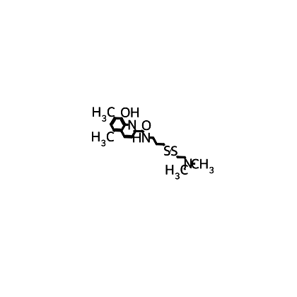 Cc1cc(C)c2ccc(C(=O)NCCCSSCCN(C)C)nc2c1O